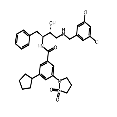 O=C(N[C@@H](Cc1ccccc1)[C@H](O)CNCc1cc(Cl)cc(Cl)c1)c1cc(C2CCCC2)cc(N2CCCS2(=O)=O)c1